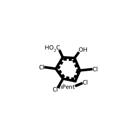 CCCCCCl.O=C(O)c1c(O)c(Cl)cc(Cl)c1Cl